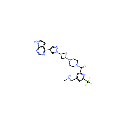 CNCc1cc(C(=O)N2CCN(C3CC(n4cc(-c5ncnc6[nH]ccc56)cn4)C3)CC2)nc(C(F)(F)F)c1